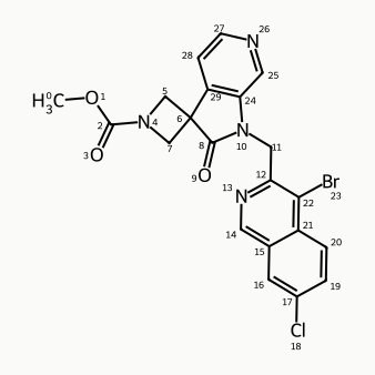 COC(=O)N1CC2(C1)C(=O)N(Cc1ncc3cc(Cl)ccc3c1Br)c1cnccc12